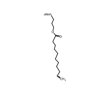 C=CCCCCCCCCC(=O)OCCCCCCCCCCCC